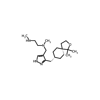 CNCCN(C)Cc1c[nH]nc1C[C@H]1CC[C@@]2(CCOC2(C)C)CC1